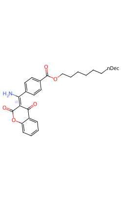 CCCCCCCCCCCCCCCCOC(=O)c1ccc(/C(N)=C2/C(=O)Oc3ccccc3C2=O)cc1